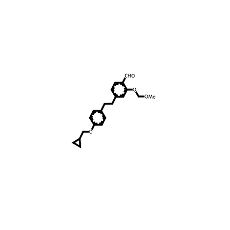 COCOc1cc(CCc2ccc(OCC3CC3)cc2)ccc1C=O